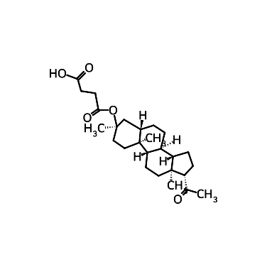 CC(=O)[C@H]1CC[C@H]2[C@@H]3CC[C@H]4C[C@](C)(OC(=O)CCC(=O)O)CC[C@]4(C)[C@H]3CC[C@]12C